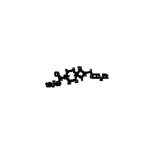 CCOC(=O)CC1CC2(CCN(C(=O)OC(C)(C)C)CC2)C1